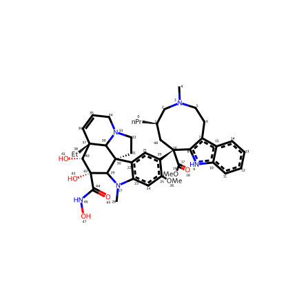 CCC[C@H]1CN(C)CCc2c([nH]c3ccccc23)[C@@](C(=O)OC)(c2cc3c(cc2OC)N(C)C2[C@]34CCN3CC=C[C@](CC)(C34)[C@@H](O)[C@]2(O)C(=O)NO)C1